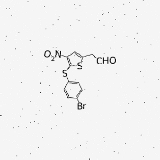 O=CCc1cc([N+](=O)[O-])c(Sc2ccc(Br)cc2)s1